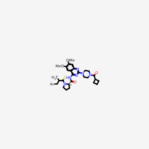 COc1cc2nc(N3CCN(C(=O)C4CCC4)CC3)nc(NC(=O)[C@H]3CCCN3C(=S)C(C)CC(C)=O)c2cc1OC